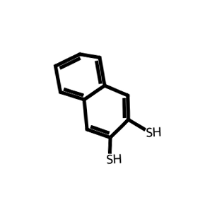 Sc1cc2ccccc2cc1S